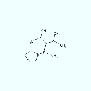 CC(C)N(C(C)C)P(C)N1CCCC1